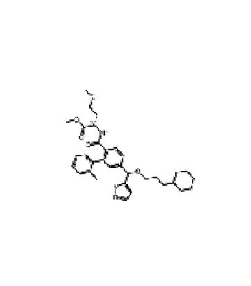 COC(=O)[C@H](CCSC)NC(=O)c1ccc(C(OCCCC2CCCCC2)c2ccns2)cc1-c1ccccc1C